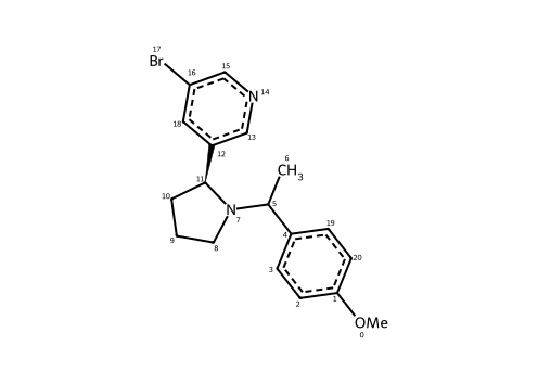 COc1ccc(C(C)N2CCC[C@H]2c2cncc(Br)c2)cc1